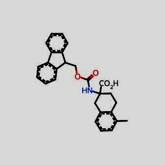 Cc1cccc2c1CCC(NC(=O)OCC1c3ccccc3-c3ccccc31)(C(=O)O)C2